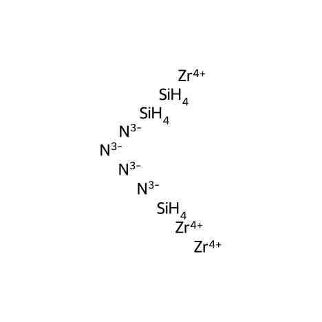 [N-3].[N-3].[N-3].[N-3].[SiH4].[SiH4].[SiH4].[Zr+4].[Zr+4].[Zr+4]